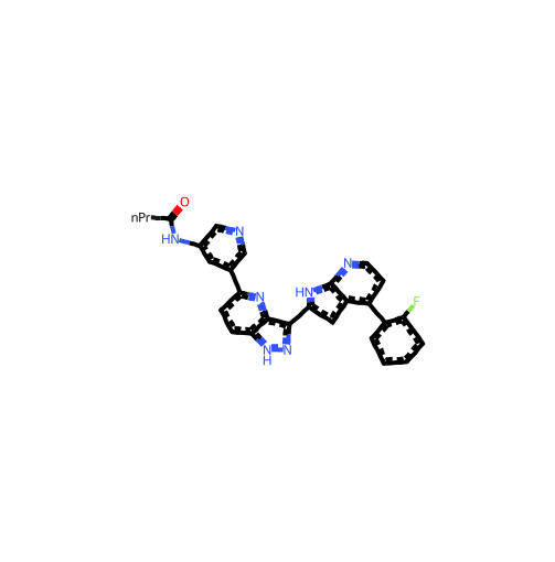 CCCC(=O)Nc1cncc(-c2ccc3[nH]nc(-c4cc5c(-c6ccccc6F)ccnc5[nH]4)c3n2)c1